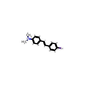 CN(C)c1ccc(C=Cc2ccc(I)cc2)cc1